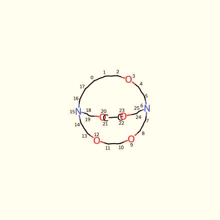 C1CCOCCN2CCOCCOCCN(CC1)CCOCCOCC2